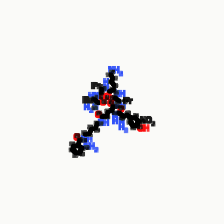 CCC(C)[C@H](NC(=O)[C@@H](NC(=O)[C@H](CCCCN)NC(=O)[C@@H](NC(=O)[C@H](CCC(=O)NCCCCCNC(=O)c1ccccc1N)NC(=O)[C@@H](N)Cc1ccc(O)c([N+](=O)[O-])c1)C(C)C)C(C)C)C(N)=O